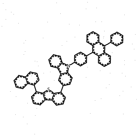 c1ccc(-c2c3ccccc3c(-c3ccc(-n4c5ccccc5c5cc(-c6cccc7c6sc6c(-c8cccc9ccccc89)cccc67)ccc54)cc3)c3ccccc23)cc1